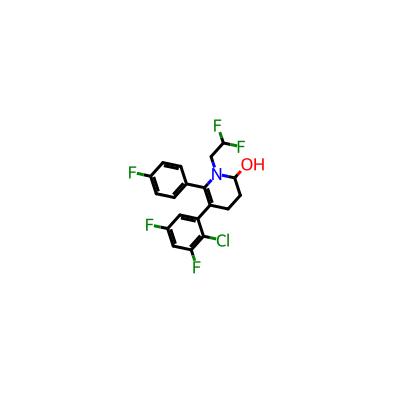 OC1CCC(c2cc(F)cc(F)c2Cl)=C(c2ccc(F)cc2)N1CC(F)F